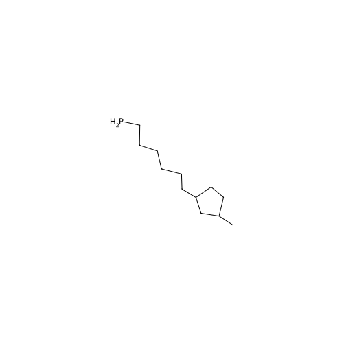 CC1CCC(CCCCCCP)C1